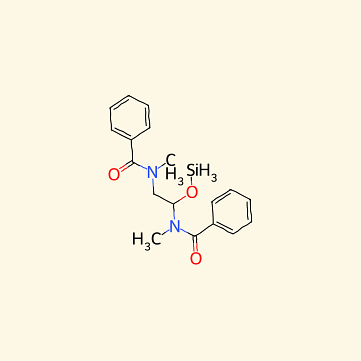 CN(CC(O[SiH3])N(C)C(=O)c1ccccc1)C(=O)c1ccccc1